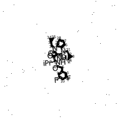 CC(C)[C@H](NC(=O)Cc1cc(F)cc(F)c1)C(=O)C1(N)C(=O)N(CC2CC2)c2ccccc2N(CC2CC2)C1=O